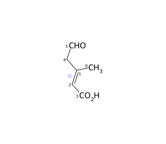 C/C(=C\C(=O)O)CC=O